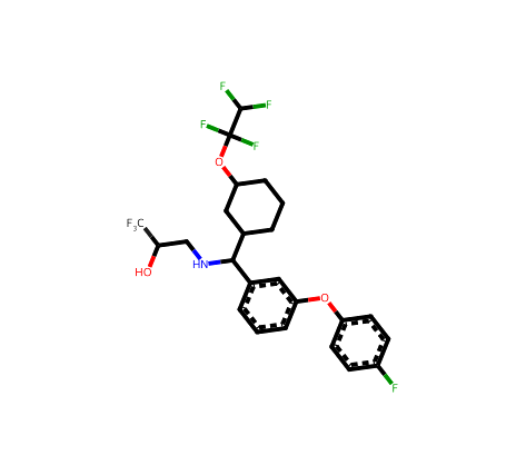 OC(CNC(c1cccc(Oc2ccc(F)cc2)c1)C1CCCC(OC(F)(F)C(F)F)C1)C(F)(F)F